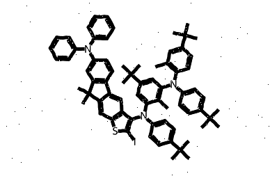 Cc1cc(C(C)(C)C)ccc1N(c1ccc(C(C)(C)C)cc1)c1cc(C(C)(C)C)cc(N(c2ccc(C(C)(C)C)cc2)c2c(I)sc3cc4c(cc23)-c2ccc(N(c3ccccc3)c3ccccc3)cc2C4(C)C)c1C